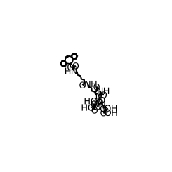 O=C(CCCCCNC(=O)OC1Cc2ccccc2C#Cc2ccccc21)NCCCc1cn([C@@H]2O[C@H](COP(=O)(O)O)C(OP(=O)(O)O)[C@@H]2O)c(=O)[nH]c1=O